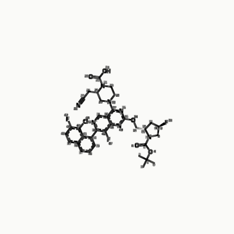 CC(C)(C)OC(=O)N1C[C@H](F)C[C@H]1COc1nc(N2CCN(C(=O)O)C(CC#N)C2)c2cnc(-c3cccc4ccc(F)c(Cl)c34)c(F)c2n1